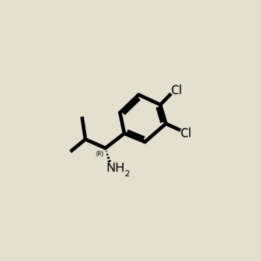 CC(C)[C@@H](N)c1ccc(Cl)c(Cl)c1